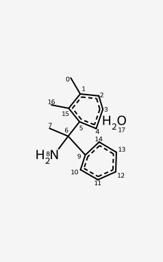 Cc1cccc(C(C)(N)c2ccccc2)c1C.O